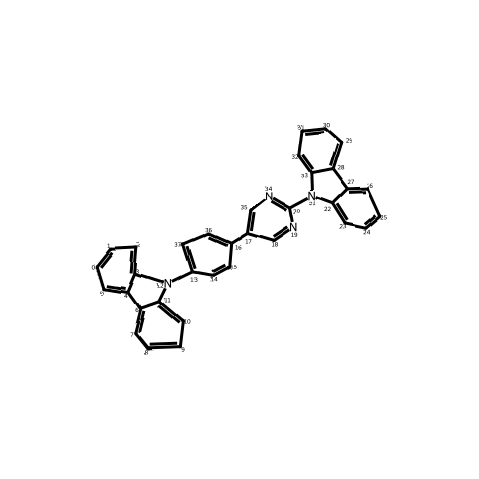 c1ccc2c(c1)c1ccccc1n2-c1ccc(-c2cnc(-n3c4ccccc4c4ccccc43)nc2)cc1